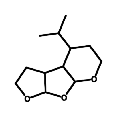 CC(C)C1CCOC2OC3OCCC3C21